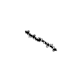 C=CC(=O)OCCCNC(=O)OCCOCCOc1ccc(CCOC(=O)NCCCOC(=O)C=C)cc1